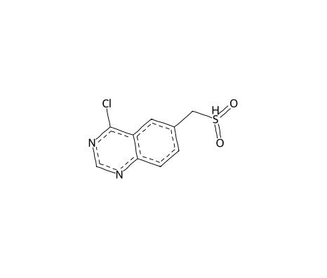 O=[SH](=O)Cc1ccc2ncnc(Cl)c2c1